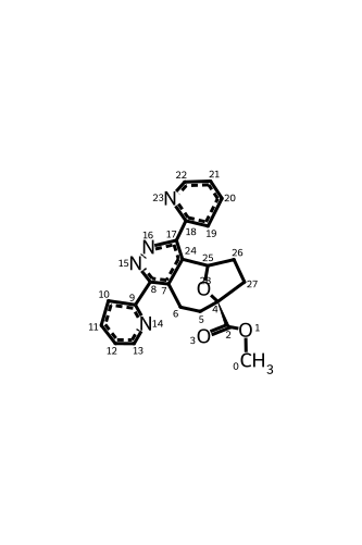 COC(=O)[C@]12CCc3c(-c4ccccn4)nnc(-c4ccccn4)c3C(CC1)O2